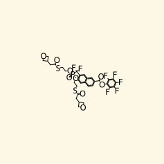 O=C(CC1COC1)SCCOP(=O)(OCCSC(=O)CC1COC1)C(F)(F)c1ccc2ccc(C(=O)Oc3c(F)c(F)c(F)c(F)c3F)cc2c1